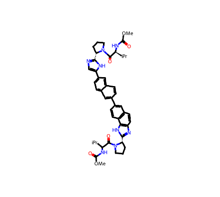 COC(=O)NC(C(=O)N1CCC[C@H]1c1nc2ccc3cc(-c4ccc5cc(-c6cnc([C@@H]7CCCN7C(=O)[C@@H](NC(=O)OC)C(C)C)[nH]6)ccc5c4)ccc3c2[nH]1)C(C)C